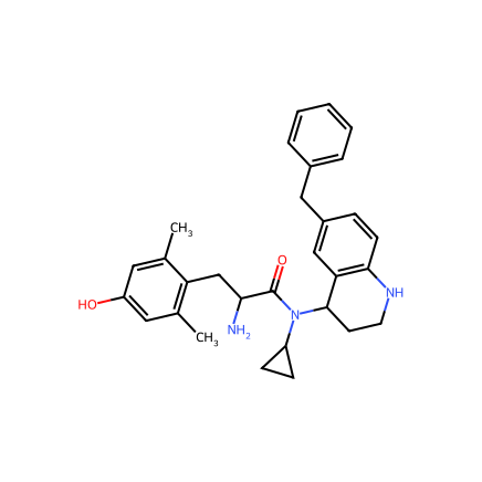 Cc1cc(O)cc(C)c1CC(N)C(=O)N(C1CC1)C1CCNc2ccc(Cc3ccccc3)cc21